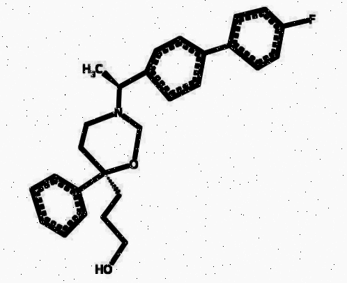 C[C@@H](c1ccc(-c2ccc(F)cc2)cc1)N1CC[C@](CCCO)(c2ccccc2)OC1